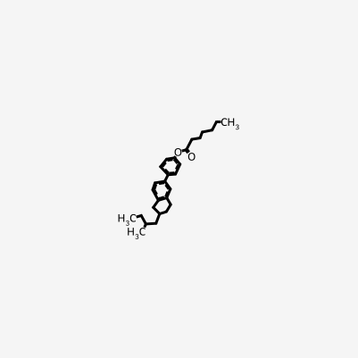 CCCCCCC(=O)Oc1ccc(-c2ccc3c(c2)CCC(CC(C)CC)C3)cc1